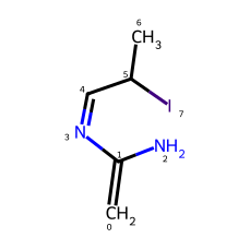 C=C(N)/N=C\C(C)I